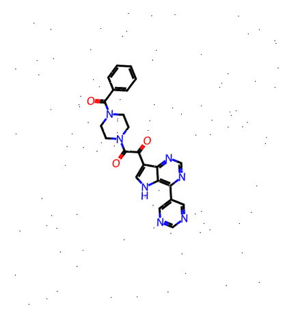 O=C(C(=O)N1CCN(C(=O)c2ccccc2)CC1)c1c[nH]c2c(-c3cncnc3)ncnc12